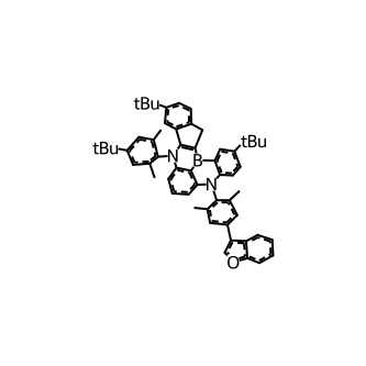 Cc1cc(C(C)(C)C)cc(C)c1N1C2=C(Cc3ccc(C(C)(C)C)cc32)B2c3cc(C(C)(C)C)ccc3N(c3c(C)cc(-c4coc5ccccc45)cc3C)c3cccc1c32